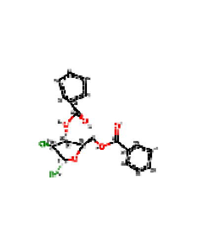 O=C(OC[C@H]1O[C@H](Br)[C@@H](Cl)[C@@H]1OC(=O)c1ccccc1)c1ccccc1